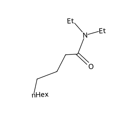 [CH2]CCCCCCCCC(=O)N(CC)CC